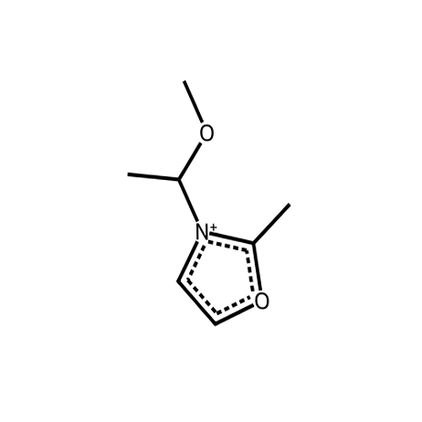 COC(C)[n+]1ccoc1C